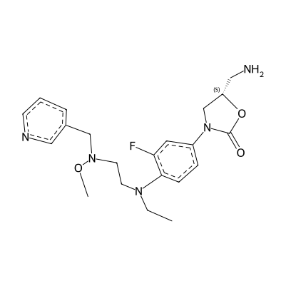 CCN(CCN(Cc1cccnc1)OC)c1ccc(N2C[C@H](CN)OC2=O)cc1F